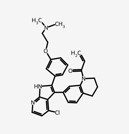 C=CC(=O)N1CCCc2ccc(-c3c(-c4cccc(OCCN(C)C)c4)[nH]c4nccc(Cl)c34)cc21